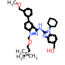 COCc1cccc(-c2ccc3c(c2)c(Nc2nc4cc(CO)ccc4n2C2CCCCC2)nn3COCC[Si](C)(C)C)c1